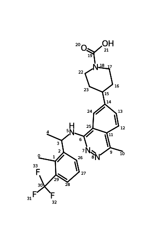 Cc1c(C(C)Nc2nnc(C)c3ccc(C4CCN(C(=O)O)CC4)cc23)cccc1C(F)(F)F